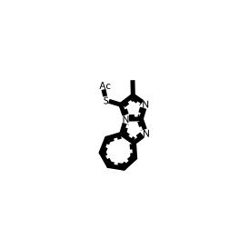 CC(=O)Sc1c(C)nc2nc3cccccc3n12